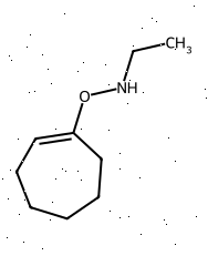 CCNOC1=CCCCCC1